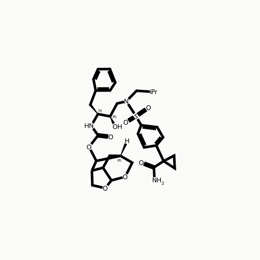 CC(C)CN(C[C@@H](O)[C@H](Cc1ccccc1)NC(=O)OC1C2COC3OC[C@H]1CC32)S(=O)(=O)c1ccc(C2(C(N)=O)CC2)cc1